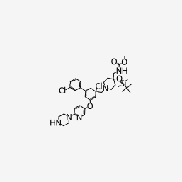 COC(=O)NCC1(O[Si](C)(C)C(C)(C)C)CCN(CC2(Cl)C=C(Oc3ccc(N4CCNCC4)nc3)C=C(c3cccc(Cl)c3)C2)CC1